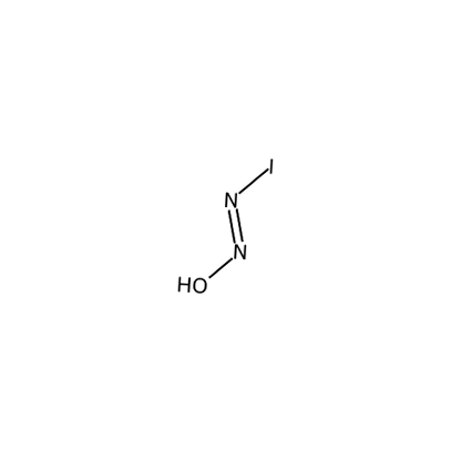 ON=NI